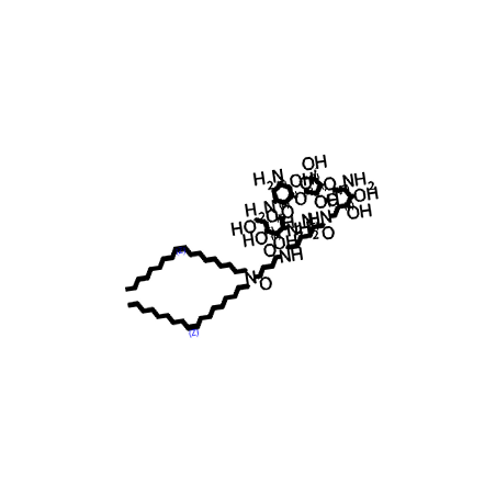 CCCCCCCC/C=C\CCCCCCCCN(CCCCCCCC/C=C\CCCCCCCC)C(=O)CCC(=O)NCCCC[C@H](N)C(=O)NCC1O[C@H](O[C@@H]2C(O)[C@H](O[C@@H]3C(O)[C@H](N)CC(N)[C@H]3O[C@H]3OC(CO)[C@@H](O)[C@H](O)C3N)O[C@@H]2CO)[C@H](N)C(O)[C@@H]1O